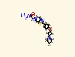 NC(=O)CN1CCc2nc(-c3ccc(OC4CC(N5CCCCC5)C4)cc3)sc2C1